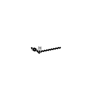 C=C(CCN1CCN(CC)CC1)NCCCCCCCCCCCCCCCCCC